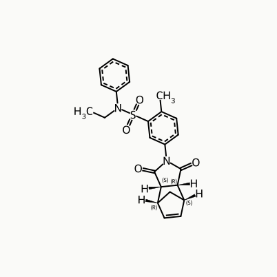 CCN(c1ccccc1)S(=O)(=O)c1cc(N2C(=O)[C@@H]3[C@H](C2=O)[C@@H]2C=C[C@H]3C2)ccc1C